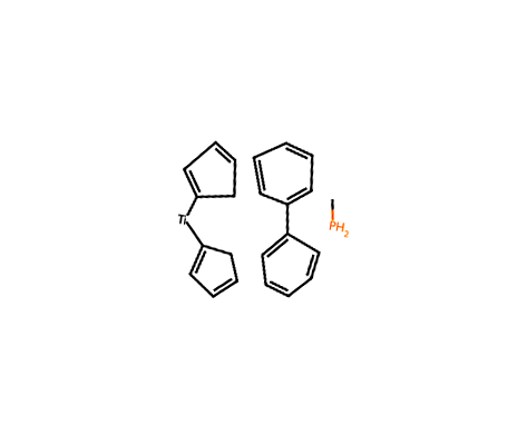 C1=CC[C]([Ti][C]2=CC=CC2)=C1.CP.c1ccc(-c2ccccc2)cc1